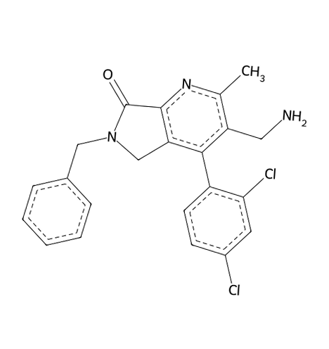 Cc1nc2c(c(-c3ccc(Cl)cc3Cl)c1CN)CN(Cc1ccccc1)C2=O